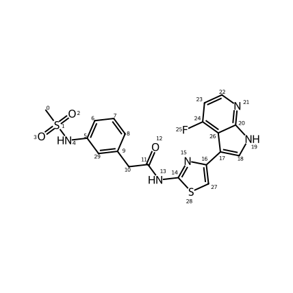 CS(=O)(=O)Nc1cccc(CC(=O)Nc2nc(-c3c[nH]c4nccc(F)c34)cs2)c1